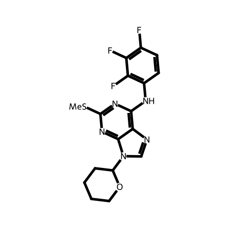 CSc1nc(Nc2ccc(F)c(F)c2F)c2ncn(C3CCCCO3)c2n1